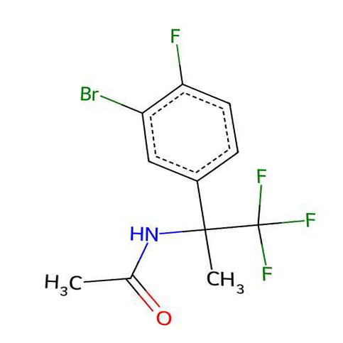 CC(=O)NC(C)(c1ccc(F)c(Br)c1)C(F)(F)F